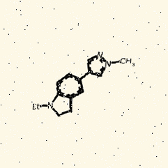 CCN1CCc2cc(-c3cnn(C)c3)ccc21